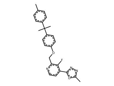 Cc1ccc(C(C)(C)c2ccc(OCc3nccc(-c4nnc(C)o4)c3F)cc2)cc1